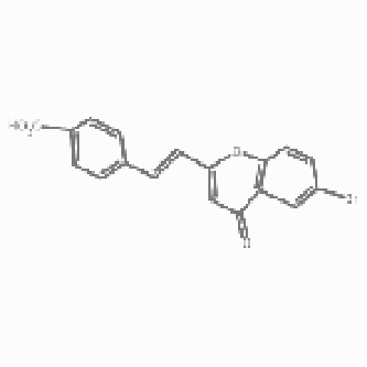 O=C(O)c1ccc(/C=C/c2cc(=O)c3cc(Br)ccc3o2)cc1